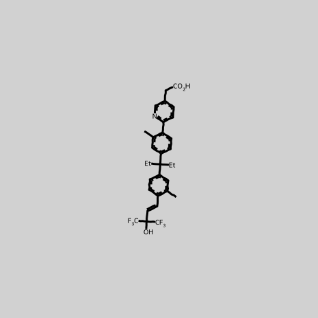 CCC(CC)(c1ccc(C=CC(O)(C(F)(F)F)C(F)(F)F)c(C)c1)c1ccc(-c2ccc(CC(=O)O)cn2)c(C)c1